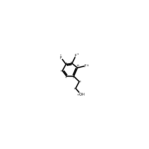 OCCc1ccc(F)c(F)c1F